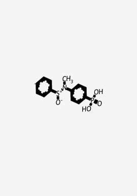 CN(c1ccc(P(=O)(O)O)cc1)[S+]([O-])c1cc[c]cc1